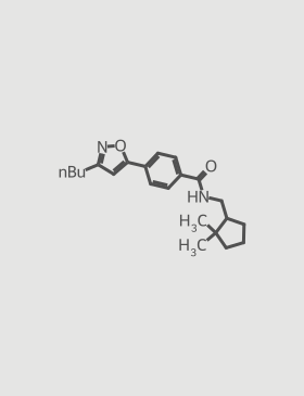 CCCCc1cc(-c2ccc(C(=O)NCC3CCCC3(C)C)cc2)on1